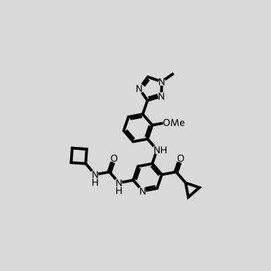 COc1c(Nc2cc(NC(=O)NC3CCC3)ncc2C(=O)C2CC2)cccc1-c1ncn(C)n1